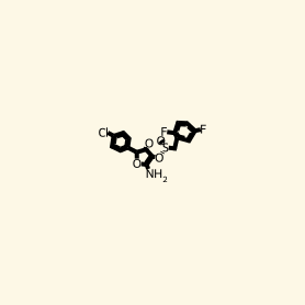 NC1=C(OS(=O)Cc2cc(F)ccc2F)C(=O)C(c2ccc(Cl)cc2)O1